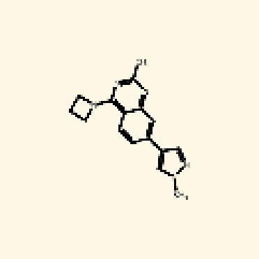 Cc1nc(N2CCC2)c2ccc(-c3cnn(C)c3)cc2n1